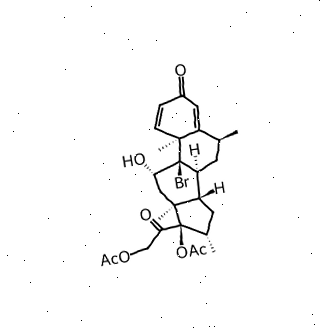 CC(=O)OCC(=O)[C@@]1(OC(C)=O)[C@@H](C)C[C@H]2[C@@H]3C[C@H](C)C4=CC(=O)C=C[C@]4(C)[C@@]3(Br)[C@@H](O)C[C@@]21C